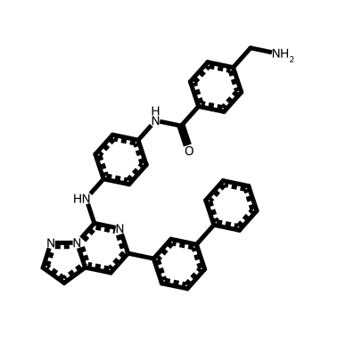 NCc1ccc(C(=O)Nc2ccc(Nc3nc(-c4cccc(-c5ccccc5)c4)cc4ccnn34)cc2)cc1